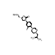 C=C(C)CN1CCN(c2ccc(N3C[C@H](CNC(C)=O)OC3=O)cc2F)C=N1